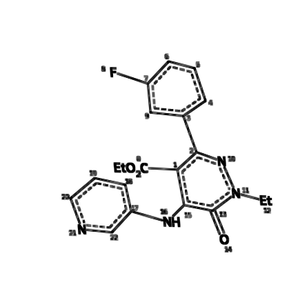 CCOC(=O)c1c(-c2cccc(F)c2)nn(CC)c(=O)c1Nc1cccnc1